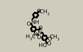 COc1ccc(CNC(=O)c2ccc3c(c2)c(=O)n(Cc2ccc(C(=O)O)c(OC)c2)c(=O)n3C)cc1